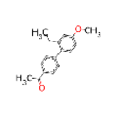 CCc1cc(OC)ccc1-c1ccc(C(C)=O)cc1